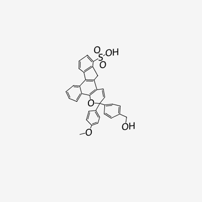 COc1ccc(C2(c3ccc(CO)cc3)C=Cc3c4c(c5ccccc5c3O2)-c2cccc(S(=O)(=O)O)c2C4)cc1